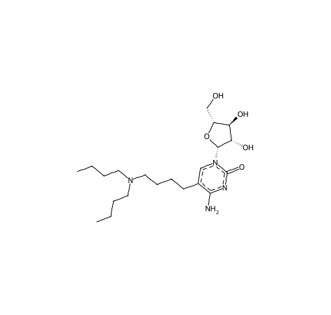 CCCCN(CCCC)CCCCc1cn([C@@H]2O[C@H](CO)[C@@H](O)[C@@H]2O)c(=O)nc1N